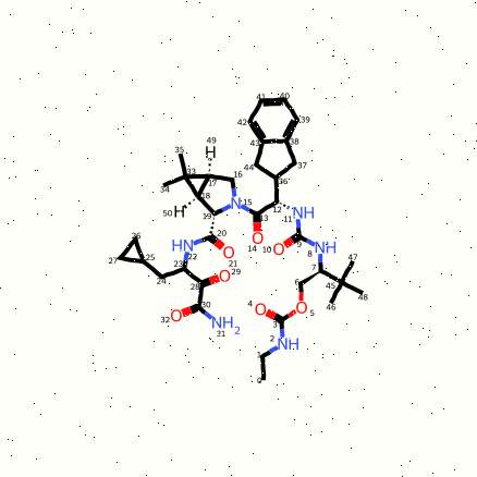 CCNC(=O)OC[C@@H](NC(=O)N[C@H](C(=O)N1C[C@H]2[C@@H]([C@H]1C(=O)NC(CC1CC1)C(=O)C(N)=O)C2(C)C)C1Cc2ccccc2C1)C(C)(C)C